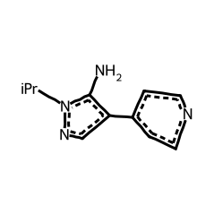 CC(C)n1ncc(-c2ccncc2)c1N